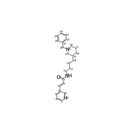 O=C(C=Cc1cccnc1)NCCCCC1CCCN(Cc2ccccc2)C1